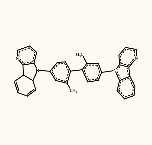 Cc1cc(N2c3cccnc3C3C=CC=CC32)ccc1-c1ccc(-n2c3ccccc3c3ncccc32)cc1C